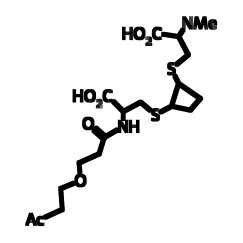 CNC(CSC1CCC1SCC(NC(=O)CCOCCC(C)=O)C(=O)O)C(=O)O